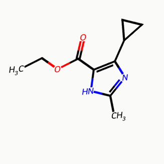 CCOC(=O)c1[nH]c(C)nc1C1CC1